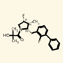 C[C@H]1[C@@H](F)CN(C(=O)C(C)(C)O)[C@H]1Cc1cccc(-c2ccccc2)c1F